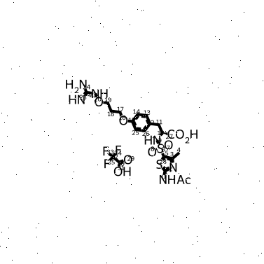 CC(=O)Nc1nc(C)c(S(=O)(=O)N[C@@H](Cc2ccc(OCCCONC(=N)N)cc2)C(=O)O)s1.O=C(O)C(F)(F)F